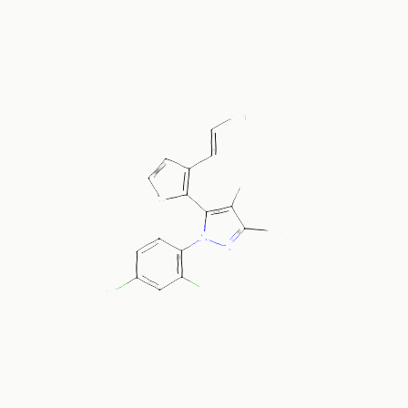 CCCC=Cc1cc[se]c1-c1c(Br)c(C(=O)OCC)nn1-c1ccc(Cl)cc1Cl